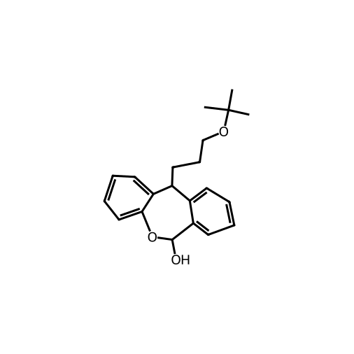 CC(C)(C)OCCCC1c2ccccc2OC(O)c2ccccc21